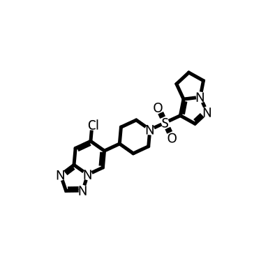 O=S(=O)(c1cnn2c1CCC2)N1CCC(c2cn3ncnc3cc2Cl)CC1